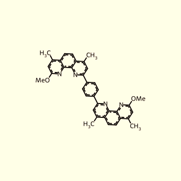 COc1cc(C)c2ccc3c(C)cc(-c4ccc(-c5cc(C)c6ccc7c(C)cc(OC)nc7c6n5)cc4)nc3c2n1